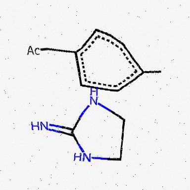 CC(=O)c1ccc(C)cc1.N=C1NCCN1